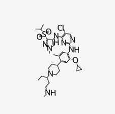 CCC(CCNC)N1CCC(c2cc(OC3CC3)c(Nc3ncc(Cl)c(Nc4cn(C)nc4S(=O)(=O)C(C)C)n3)cc2C)CC1